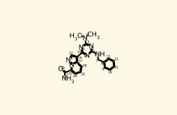 CN(C)c1nc(NCc2ccccc2)nc(-c2cnn3c(C(N)=O)cccc23)n1